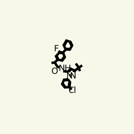 CC(C(=O)NCc1cc(C(C)(C)C)nn1-c1cccc(Cl)c1)c1ccc(-c2ccccc2)c(F)c1